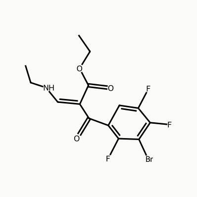 CCNC=C(C(=O)OCC)C(=O)c1cc(F)c(F)c(Br)c1F